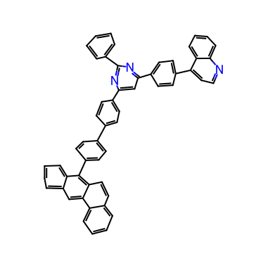 c1ccc(-c2nc(-c3ccc(-c4ccc(-c5c6ccccc6cc6c5ccc5ccccc56)cc4)cc3)cc(-c3ccc(-c4ccnc5ccccc45)cc3)n2)cc1